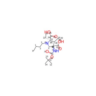 CCCCN1C[C@@](NC(=O)OC(C)(C)C)(C(=O)O)C(CC)[C@]1(CC)C(=O)O